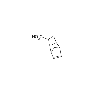 O=C(O)C1CC2C3C=CC(C3)C12